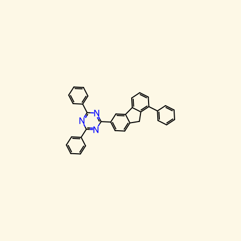 c1ccc(-c2nc(-c3ccccc3)nc(-c3ccc4c(c3)-c3cccc(-c5ccccc5)c3C4)n2)cc1